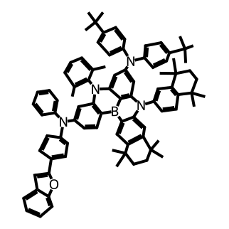 Cc1cccc(C)c1N1c2cc(N(c3ccccc3)c3ccc(-c4cc5ccccc5o4)cc3)ccc2B2c3cc4c(cc3N(c3ccc5c(c3)C(C)(C)CCC5(C)C)c3cc(N(c5ccc(C(C)(C)C)cc5)c5ccc(C(C)(C)C)cc5)cc1c32)C(C)(C)CCC4(C)C